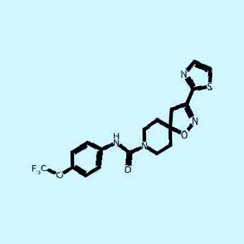 O=C(Nc1ccc(OC(F)(F)F)cc1)N1CCC2(CC1)CC(c1nccs1)=NO2